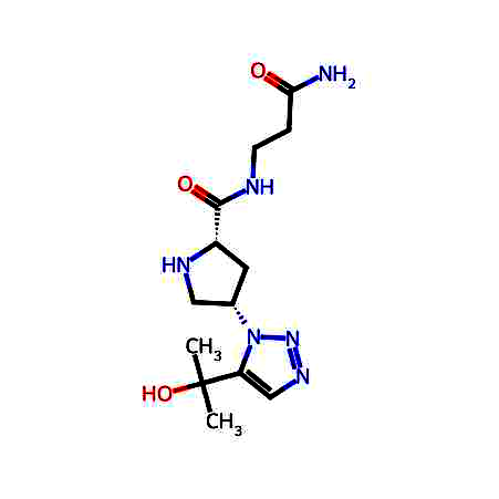 CC(C)(O)c1cnnn1[C@@H]1CN[C@H](C(=O)NCCC(N)=O)C1